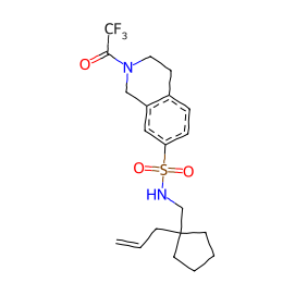 C=CCC1(CNS(=O)(=O)c2ccc3c(c2)CN(C(=O)C(F)(F)F)CC3)CCCC1